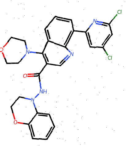 O=C(NN1CCOc2ccccc21)c1cnc2c(-c3cc(Cl)cc(Cl)n3)cccc2c1N1CCOCC1